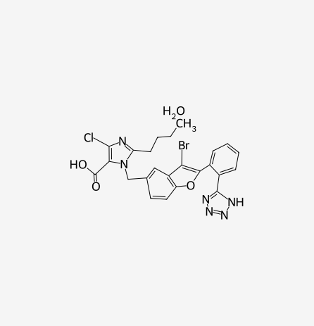 CCCCc1nc(Cl)c(C(=O)O)n1Cc1ccc2oc(-c3ccccc3-c3nnn[nH]3)c(Br)c2c1.O